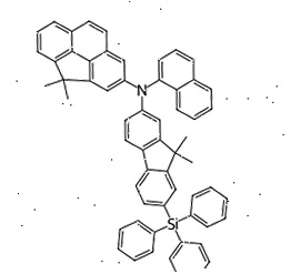 CC1(C)c2cc(N(c3cc4c5c(ccc6cccc(c65)C4(C)C)c3)c3cccc4ccccc34)ccc2-c2ccc([Si](c3ccccc3)(c3ccccc3)c3ccccc3)cc21